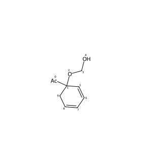 CC(=O)C1(OCO)C=CC=CC1